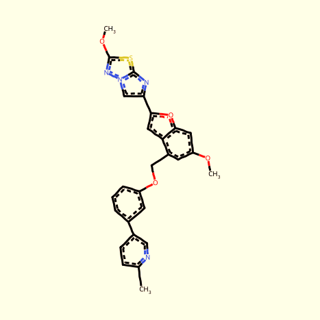 COc1cc(COc2cccc(-c3ccc(C)nc3)c2)c2cc(-c3cn4nc(OC)sc4n3)oc2c1